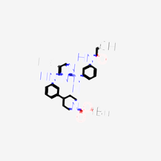 C=CC(=O)Nc1cccc(Nc2ncc(C(F)(F)F)c(Nc3cccc(C4CCN(C(=O)OC(C)(C)C)CC4)c3)n2)c1